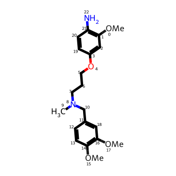 COc1cc(OCCCN(C)Cc2ccc(OC)c(OC)c2)ccc1N